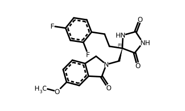 COc1ccc2c(c1)C(=O)N(C[C@@]1(CCc3ccc(F)cc3F)NC(=O)NC1=O)C2